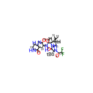 CC(C)(C)[C@H](NC(=O)C(F)F)C(=O)N1C[C@H]2[C@@H]([C@H]1C(=O)N[C@@H](C[C@@H]1CCCNC1=O)C(N)=O)C2(C)C